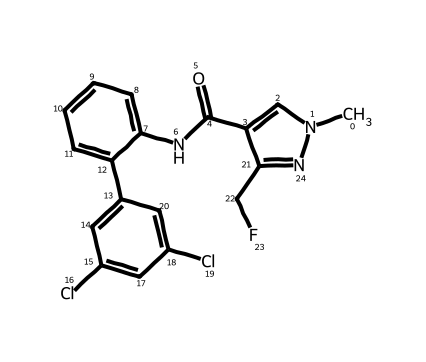 Cn1cc(C(=O)Nc2ccccc2-c2cc(Cl)cc(Cl)c2)c(CF)n1